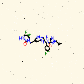 O=C(NC(c1cn2ncc(CN3CC(F)(F)CNC3=O)cc2n1)C1CCC(F)(F)CC1)c1cnn(CC2CC2)n1